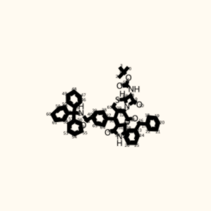 CC(C)(C)OC(=O)N[C@@H]1C(=O)N2C(C(=O)OC(c3ccccc3)c3ccccc3)=C(C(=C3CCNC3=O)c3ccc(C(=O)NC(c4ccccc4)(c4ccccc4)c4ccccc4)cc3)CS[C@H]12